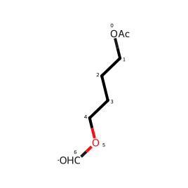 CC(=O)OCCCCO[C]=O